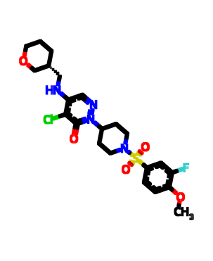 COc1ccc(S(=O)(=O)N2CCC(n3ncc(NC[C@H]4CCCOC4)c(Cl)c3=O)CC2)cc1F